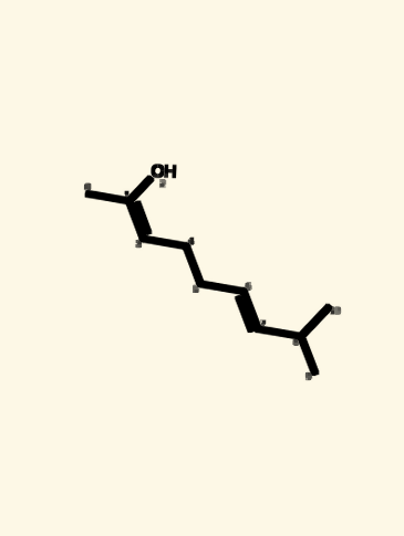 CC(O)=CCCC=CC(C)C